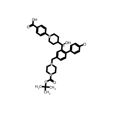 CC(C)(C)OC(=O)N1CCN(Cc2ccc(-c3ccc(Cl)cc3)c([C@H](O)C3CCN(c4ccc(C(=O)O)cc4)CC3)c2)CC1